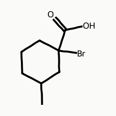 CC1CCCC(Br)(C(=O)O)C1